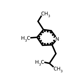 CCc1cnc(CC(C)C)cc1C